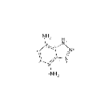 Nc1ccc(N)c2[nH]nnc12